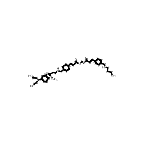 Cn1c(CCNCc2ccc(/C=C/C(=O)OCOC(=O)/C=C/c3ccc(CNCCCO)cc3)cc2)nc2cc(N(CCO)CCO)ccc21